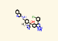 Cn1cncc1C(O)(c1ccc(CNc2cnc3ccccc3c2)cc1)c1ccc2c(c1)c(-c1cccc(Cl)c1)nc1nnnn12